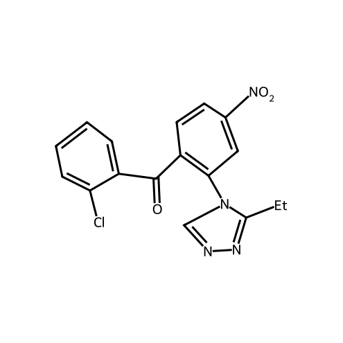 CCc1nncn1-c1cc([N+](=O)[O-])ccc1C(=O)c1ccccc1Cl